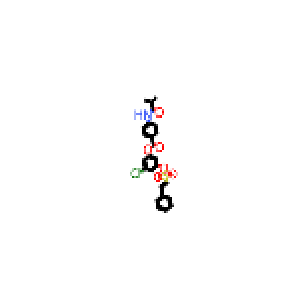 CC(C)C(=O)Nc1ccc(C(=O)Oc2cc(Cl)cc(OS(=O)(=O)C=Cc3ccccc3)c2)cc1